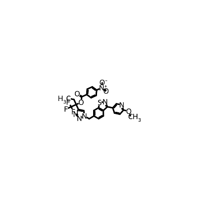 CCC(OC(=O)c1ccc([N+](=O)[O-])cc1)(c1cn(Cc2ccc3c(-c4ccc(OC)nc4)nsc3c2)nn1)C(F)(F)F